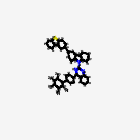 [2H]c1c([2H])c([2H])c(-c2ccc(-c3nc(-n4c5ccccc5c5cc(-c6ccc7sc8ccccc8c7c6)ccc54)nc4ccccc34)cc2)c([2H])c1[2H]